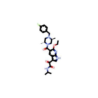 CCOc1nc2[nH]cc(C(=O)C(=O)NC(C)C)c2cc1C(=O)N1C[C@H](C)N(Cc2ccc(F)cc2)C[C@H]1C